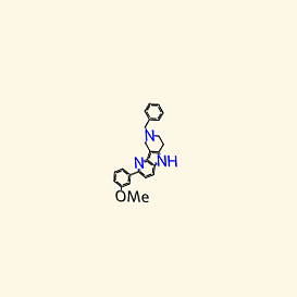 COc1cccc(-c2ccc3[nH]c4c(c3n2)CN(Cc2ccccc2)CC4)c1